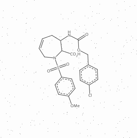 COc1ccc(S(=O)(=O)N2CC=CCC(NC(=O)OCc3ccc(Cl)cc3)C2C(=O)O)cc1